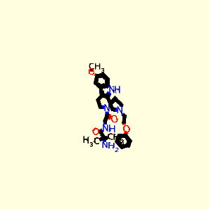 COc1ccc2[nH]c3c(c2c1)CCN(C(=O)CNC(=O)C(C)(C)N)C31CCN(CCOc2ccccc2)C1